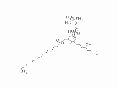 CCCCCCCCCCCCCCCC(=O)OCC(COP(=O)(O)OCC[N+](C)(C)C)OC(=O)CCCC(O)C=CC=O